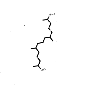 CCCCCC(C)CCCC(C)CCCC(C)CCCC(C)[C]=O